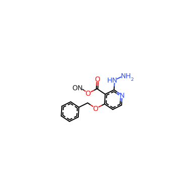 NNc1nccc(OCc2ccccc2)c1C(=O)ON=O